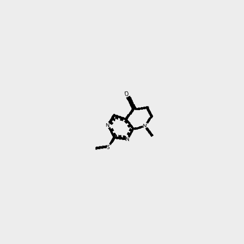 CSc1ncc2c(n1)N(C)CCC2=O